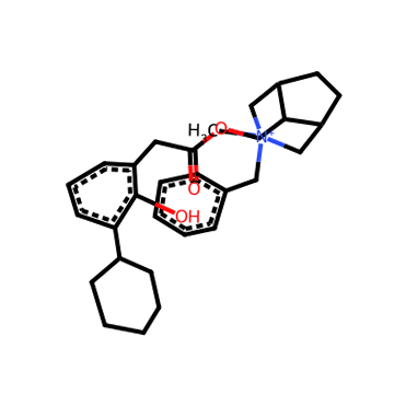 C[N+]1(Cc2ccccc2)CC2CCC(C1)C2COC(=O)Cc1cccc(C2CCCCC2)c1O